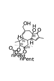 CCCCCC(=O)O[C@@H]1[C@@H](C)C2[C@@H](C=C(CO)C[C@]3(O)C(=O)C(C)=C[C@@H]23)C(C)(C)[C@]1(C)OC(=O)CCCCC